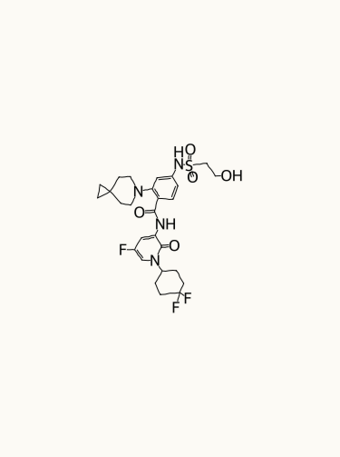 O=C(Nc1cc(F)cn(C2CCC(F)(F)CC2)c1=O)c1ccc(NS(=O)(=O)CCO)cc1N1CCC2(CC1)CC2